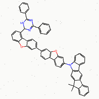 CC1(C)c2ccccc2-c2cc3c4ccccc4n(-c4ccc5c(c4)oc4cc(-c6ccc7c(c6)oc6cccc(C8N=C(c9ccccc9)N=C(c9ccccc9)N8)c67)ccc45)c3cc21